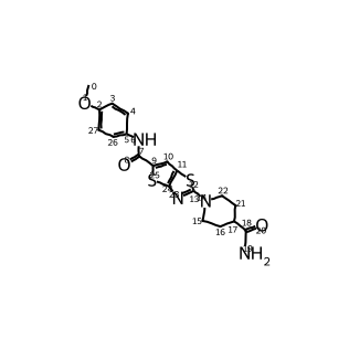 COc1ccc(NC(=O)c2cc3sc(N4CCC(C(N)=O)CC4)nc3s2)cc1